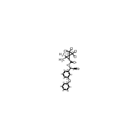 CC1(C)C(C(=O)OC(C#N)c2cccc(Oc3ccccc3)c2)C12C(Cl)(Cl)C2(Cl)Cl